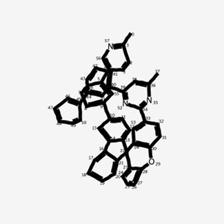 Cc1ccc(-c2cccc(-c3ccc4c(c3)-c3ccccc3C43c4ccccc4Oc4ccc(-c5nc(C)cc(-c6cccc(-c7ccccc7)c6)n5)cc43)c2)cn1